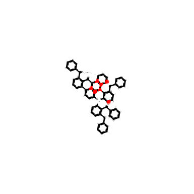 O=C(c1ccccc1)c1cccc(-c2ccc(N(c3cccc(C(=O)c4ccccc4)c3C(=O)c3ccccc3)c3cccc(C(=O)c4ccccc4)c3C(=O)c3ccccc3)cc2)c1C(=O)c1ccccc1